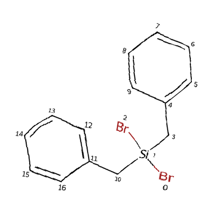 Br[Si](Br)(Cc1ccccc1)Cc1ccccc1